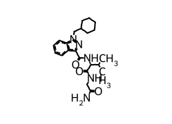 CC(C)[C@H](NC(=O)c1nn(CC2CCCCC2)c2ccccc12)C(=O)NCC(N)=O